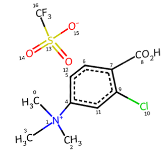 C[N+](C)(C)c1ccc(C(=O)O)c(Cl)c1.O=S(=O)([O-])C(F)(F)F